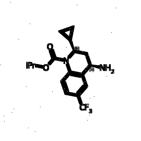 CC(C)OC(=O)N1c2ccc(C(F)(F)F)cc2[C@H](N)C[C@@H]1C1CC1